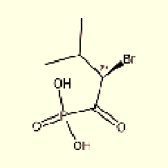 CC(C)[C@@H](Br)C(=O)P(=O)(O)O